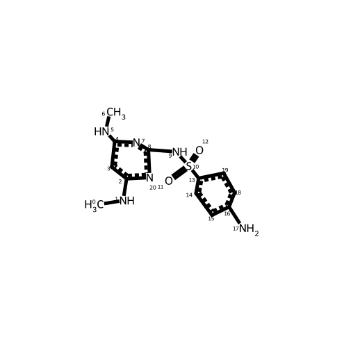 CNc1cc(NC)nc(NS(=O)(=O)c2ccc(N)cc2)n1